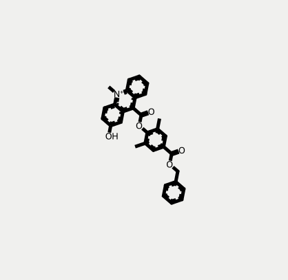 Cc1cc(C(=O)OCc2ccccc2)cc(C)c1OC(=O)c1c2ccccc2[n+](C)c2ccc(O)cc12